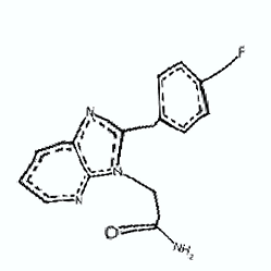 NC(=O)Cn1c(-c2ccc(F)cc2)nc2cccnc21